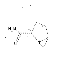 NC(=O)[C@@H]1CCC2CN21